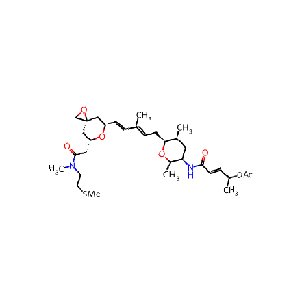 CSCCN(C)C(=O)C[C@@H]1C[C@@]2(CO2)C[C@@H](/C=C/C(C)=C/C[C@@H]2O[C@H](C)[C@H](NC(=O)C=CC(C)OC(C)=O)C[C@@H]2C)O1